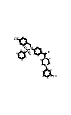 O=C(c1ccc(N(Cc2ccc(Cl)cc2)S(=O)(=O)c2ccccc2)cc1)N1CCN(c2cccc(F)c2)CC1